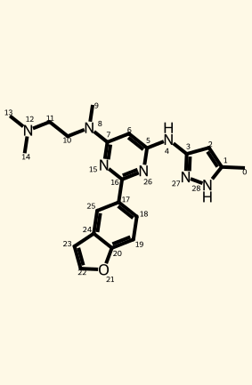 Cc1cc(Nc2cc(N(C)CCN(C)C)nc(-c3ccc4occc4c3)n2)n[nH]1